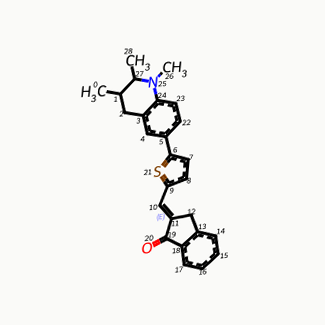 CC1Cc2cc(-c3ccc(/C=C4\Cc5ccccc5C4=O)s3)ccc2N(C)C1C